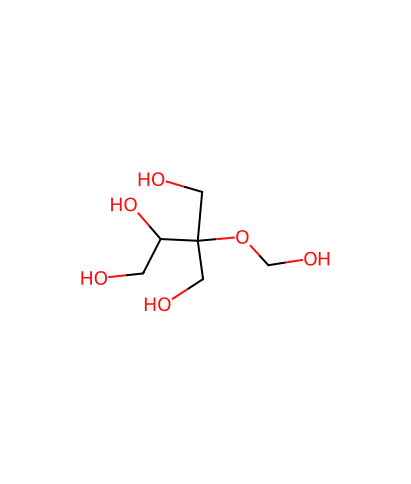 OCOC(CO)(CO)C(O)CO